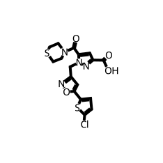 O=C(O)c1cc(C(=O)N2CCSCC2)n(Cc2cc(-c3ccc(Cl)s3)on2)n1